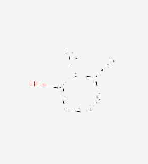 CC(C)c1cccc(O)c1C(F)(F)F